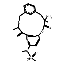 C=C1C2=CC(C=CC(N(C)S(C)(=O)=O)=N2)OC(=O)C(C)(N)Cc2cccc(c2)CCC1C